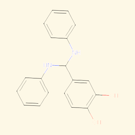 Oc1ccc(C(Nc2ccccc2)Nc2ccccc2)cc1O